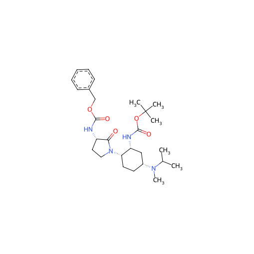 CC(C)N(C)[C@@H]1CC[C@H](N2CC[C@H](NC(=O)OCc3ccccc3)C2=O)[C@H](NC(=O)OC(C)(C)C)C1